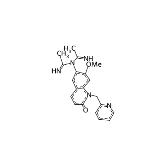 COc1cc2c(ccc(=O)n2Cc2ccccn2)cc1N(C(C)=N)C(C)=N